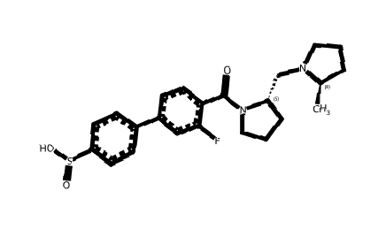 C[C@@H]1CCCN1C[C@@H]1CCCN1C(=O)c1ccc(-c2ccc(S(=O)O)cc2)cc1F